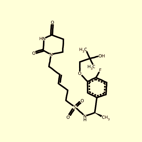 C[C@@H](NS(=O)(=O)CC/C=C/CN1CCC(=O)NC1=O)c1ccc(F)c(OCC(C)(C)O)c1